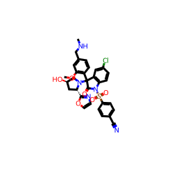 CNCc1ccc(C2(N3C[C@H](O)C[C@H]3c3ncco3)C(=O)N(S(=O)(=O)c3ccc(C#N)cc3)c3ccc(Cl)cc32)c(OC)c1